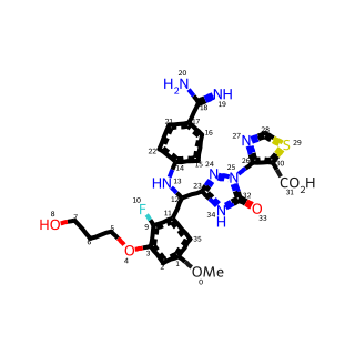 COc1cc(OCCCO)c(F)c(C(Nc2ccc(C(=N)N)cc2)c2nn(-c3ncsc3C(=O)O)c(=O)[nH]2)c1